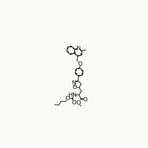 CCCCOC(=O)NC(CC1CC(c2ccc(OCc3cc(C)nc4ccccc34)cc2)=NO1)C(=O)OC